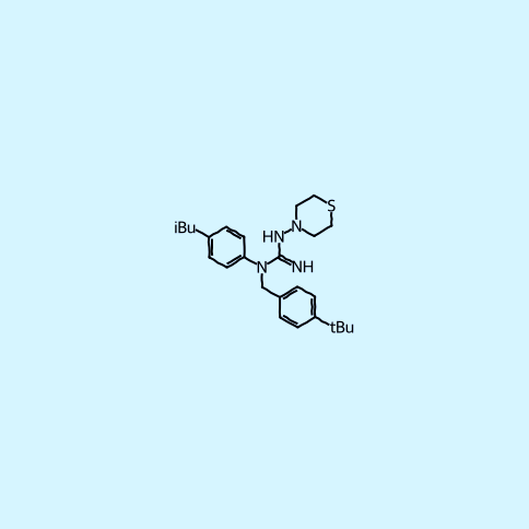 CCC(C)c1ccc(N(Cc2ccc(C(C)(C)C)cc2)C(=N)NN2CCSCC2)cc1